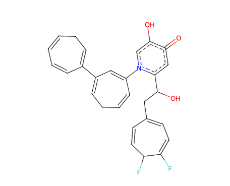 O=c1cc(C(O)CC2=CC=C(F)C(F)C=C2)n(C2=CC(C3=CCC=CC=C3)=CCC=C2)cc1O